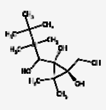 CC1(C)[C@@](O)(CO)[C@]1(O)C(O)[Si](C)(C)C(C)(C)C